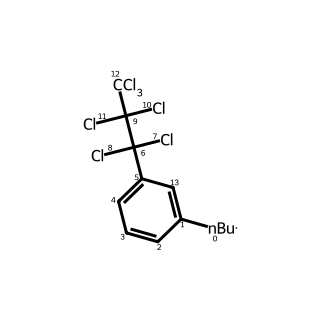 CCC[CH]c1cccc(C(Cl)(Cl)C(Cl)(Cl)C(Cl)(Cl)Cl)c1